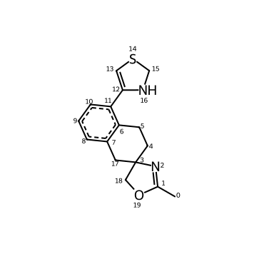 CC1=NC2(CCc3c(cccc3C3=CSCN3)C2)CO1